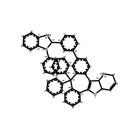 C1=CC2OC3=C(c4ccc(-c5cccc(C6Nc7ccccc7N6c6ccccc6)c5)cc4C(c4ccccc4)(c4ccccc4)c4ccccc43)C2NC1